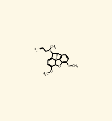 C=CCN(C)C1C2=CC=C(OC)C3Oc4c(OC)ccc5c4[C@@]23CC51